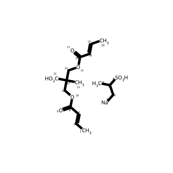 CC([CH2][Na])S(=O)(=O)O.CC=CC(=O)OCC(C)(COC(=O)C=CC)C(=O)O